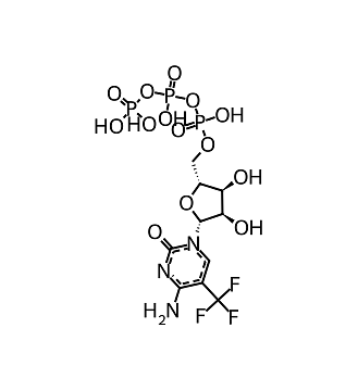 Nc1nc(=O)n([C@@H]2O[C@H](COP(=O)(O)OP(=O)(O)OP(=O)(O)O)[C@@H](O)[C@H]2O)cc1C(F)(F)F